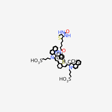 CC1(C)C(/C=C/C2=C(Sc3ccc(NC(=O)CCCCC4SCC5NC(=O)NC54)cc3)C(=C/C=C3/N(CCCCS(=O)(=O)O)c4ccc5ccccc5c4C3(C)C)/CCC2)=[N+](CCCCS(=O)(=O)O)c2ccc3ccccc3c21